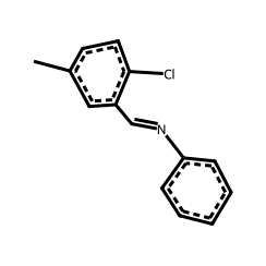 Cc1ccc(Cl)c(/C=N/c2ccccc2)c1